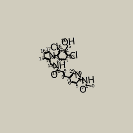 CC(=O)Nc1ccc(C=CC(=O)NCc2cccn2-c2ccc(Cl)c(CO)c2Cl)cn1